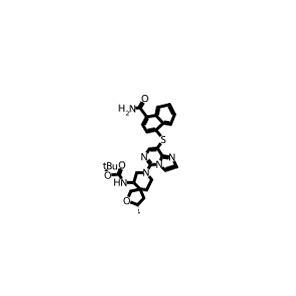 C[C@H]1CC2(CCN(c3ncc(Sc4ccc(C(N)=O)c5ccccc45)c4nccn34)CC2NC(=O)OC(C)(C)C)CO1